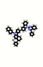 c1ccc(-c2nc(-n3c4ccccc4c4cc(-c5ccc6c(c5)c5c7cccc8c7c(cc5n6-c5ccc6ccccc6c5)Sc5ccccc5-8)ccc43)nc3ccccc23)cc1